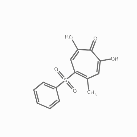 Cc1cc(O)c(=O)c(O)cc1S(=O)(=O)c1ccccc1